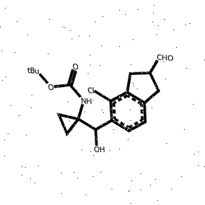 CC(C)(C)OC(=O)NC1(C(O)c2ccc3c(c2Cl)CC(C=O)C3)CC1